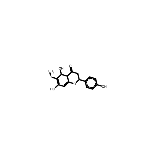 COC1=C(O)C=C2OC(c3ccc(O)cc3)CC(=O)C2C1O